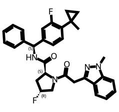 Cn1nc(CC(=O)N2C[C@H](F)C[C@H]2C(=O)N[C@@H](c2ccccc2)c2ccc(C3(C)CC3)c(F)c2)c2ccccc21